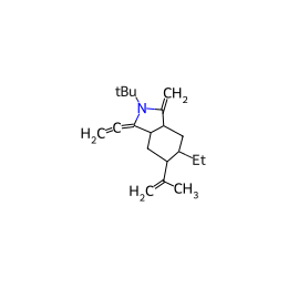 C=C=C1C2CC(C(=C)C)C(CC)CC2C(=C)N1C(C)(C)C